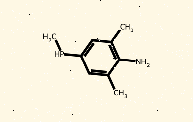 CPc1cc(C)c(N)c(C)c1